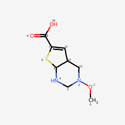 CON1CNC2SC(C(=O)O)=CC2C1